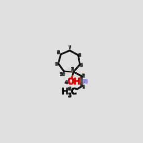 C/C=C\C1(O)CCCCCC1